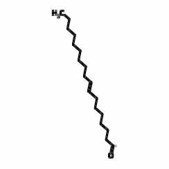 CCCCCCCCCC=CCCCCCC[C]=O